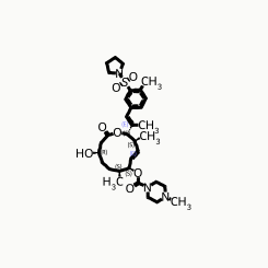 C/C(=C\c1ccc(C)c(S(=O)(=O)N2CCCC2)c1)[C@H]1OC(=O)C[C@H](O)CC[C@H](C)[C@H](OC(=O)N2CCN(C)CC2)/C=C/[C@@H]1C